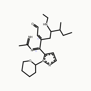 CCNC(CC(=C\C=O)/C(=N\C(C)=N)c1ccnn1C1CCCCO1)C(C)CC